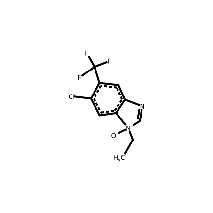 CC[N+]1([O-])C=Nc2cc(C(F)(F)F)c(Cl)cc21